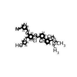 CCN(CC)C(=O)c1cccc(-c2cccc(COc3cc(OCc4cncc(C#N)c4)c(CN4CCC(O)C4)cc3Cl)c2C)c1C